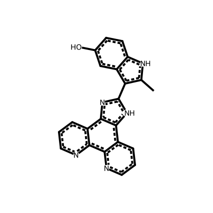 Cc1[nH]c2ccc(O)cc2c1-c1nc2c3cccnc3c3ncccc3c2[nH]1